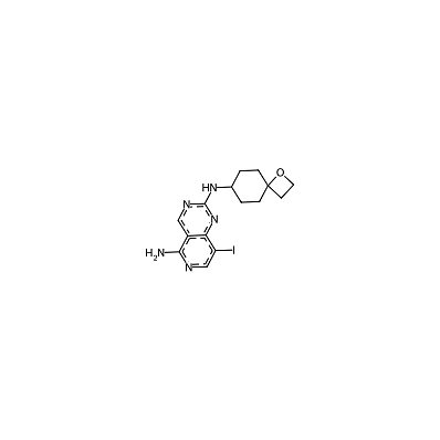 Nc1ncc(I)c2nc(NC3CCC4(CCO4)CC3)ncc12